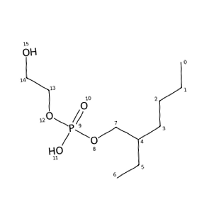 CCCCC(CC)COP(=O)(O)OCCO